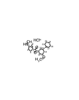 CNc1ccc(S(=O)(=O)c2cc(OC)cc(-c3ccccc3)c2)s1.Cl